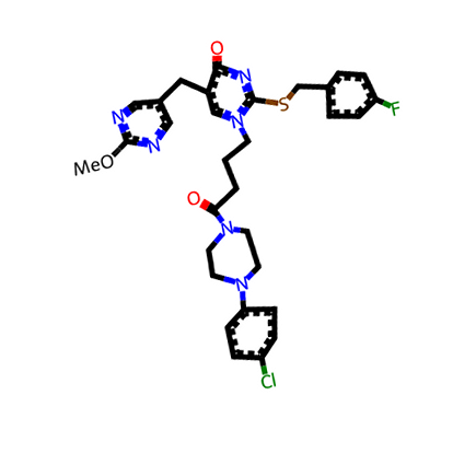 COc1ncc(Cc2cn(CCCC(=O)N3CCN(c4ccc(Cl)cc4)CC3)c(SCc3ccc(F)cc3)nc2=O)cn1